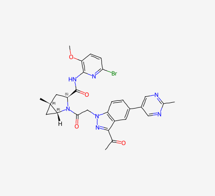 COc1ccc(Br)nc1NC(=O)[C@@H]1C[C@@]2(C)C[C@H]2N1C(=O)Cn1nc(C(C)=O)c2cc(-c3cnc(C)nc3)ccc21